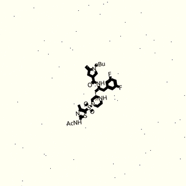 C=C1CC(C(=O)NC(Cc2cc(F)cc(F)c2)C[C@H]2CN(S(=O)(=O)c3sc(NC(C)=O)nc3C)CCN2)CN1CCCC